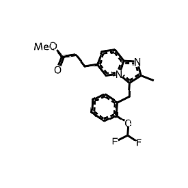 COC(=O)CCc1ccc2nc(C)c(Cc3ccccc3OC(F)F)n2c1